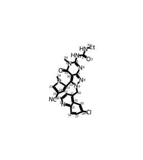 CCNC(=O)Nc1nc2nn(Cc3ccnc4ccc(Cl)cc34)c(-c3cc(C#N)cn3C)c2c(=O)n1C